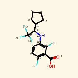 O=C(O)c1c(F)ccc(NC(C2CCCC2)C(F)(F)F)c1F